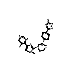 Cc1nc(-c2ccc([C@H]3CN(C4=NC(c5ncncc5F)=CCN4C)CCO3)cc2)no1